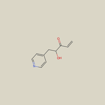 C=CC(=O)C(O)Cc1ccncc1